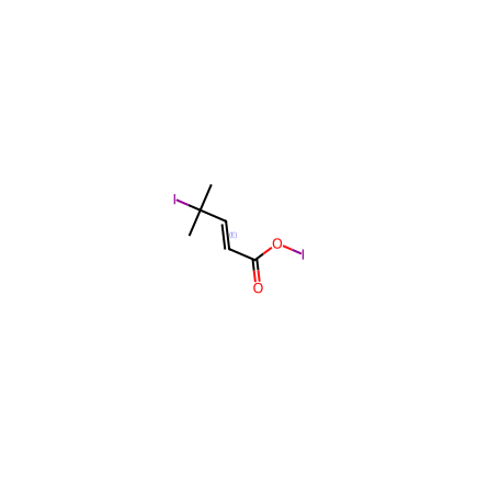 CC(C)(I)/C=C/C(=O)OI